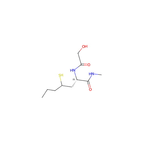 CCCC(S)C[C@H](NC(=O)CO)C(=O)NC